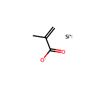 C=C(C)C(=O)[O-].[Si+]